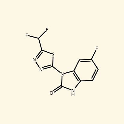 O=c1[nH]c2ccc(F)cc2n1-c1nnc(C(F)F)s1